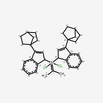 C[C](C)=[Zr]([Cl])([Cl])([CH]1C=C(C23CCC(CC2)C3)c2ccccc21)[CH]1C=C(C23CCC(CC2)C3)c2ccccc21